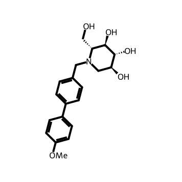 COc1ccc(-c2ccc(CN3C[C@H](O)[C@@H](O)[C@H](O)[C@H]3CO)cc2)cc1